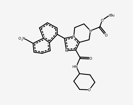 CC(C)(C)OC(=O)N1CCn2c(-c3cccc4c([N+](=O)[O-])cccc34)nc(C(=O)NC3CCOCC3)c2C1